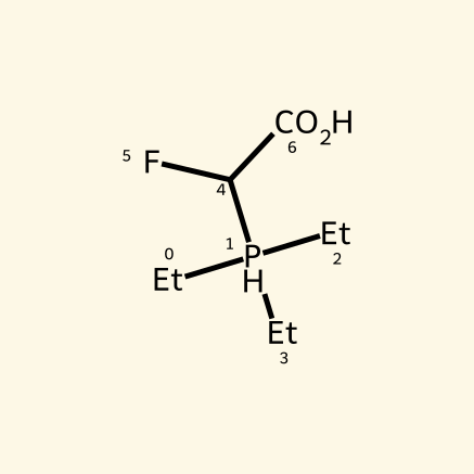 CC[PH](CC)(CC)C(F)C(=O)O